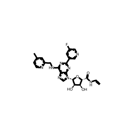 C=CNC(=O)[C@H]1O[C@@H](n2cnc3c(NCc4cc(C)ccn4)nc(-c4cncc(F)c4)nc32)[C@H](O)[C@@H]1O